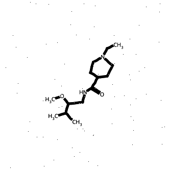 CCN1CCC(C(=O)NCC(OC)C(C)C)CC1